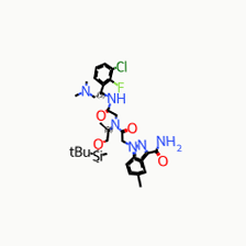 Cc1ccc2c(c1)c(C(N)=O)nn2CC(=O)N(CC(=O)N[C@H](CN(C)C)c1cccc(Cl)c1F)[C@H](C)CO[Si](C)(C)C(C)(C)C